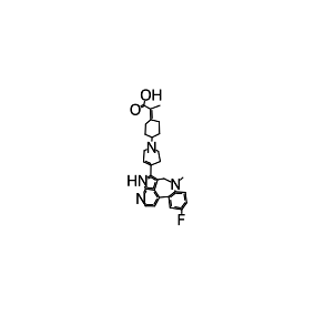 CC(C(=O)O)=C1CCC(N2CC=C(c3[nH]c4nccc5c4c3CN(C)c3ccc(F)cc3-5)CC2)CC1